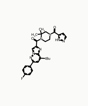 CC(C)(C)c1cc(-c2ccc(F)cc2)nn2cc(C(=O)N3CCN(C(=O)c4ccn[nH]4)CC3(C)C)nc12